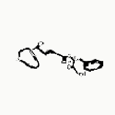 O=C(CCC(=O)N1CCNCC1)O[C@H](Cc1ccccc1)C(O)O